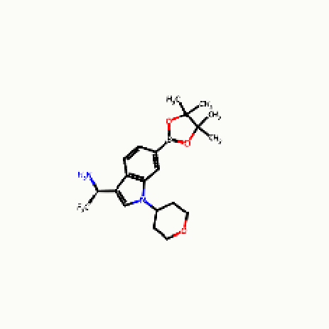 CC1(C)OB(c2ccc3c([C@H](N)C(F)(F)F)cn(C4CCOCC4)c3c2)OC1(C)C